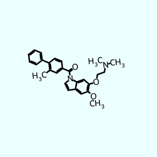 COc1cc2ccn(C(=O)c3ccc(-c4ccccc4)c(C)c3)c2cc1OCCN(C)C